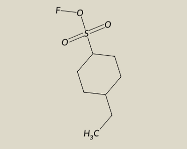 CCC1CCC(S(=O)(=O)OF)CC1